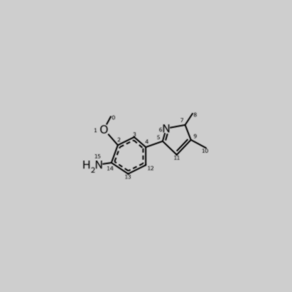 COc1cc(C2=NC(C)C(C)=C2)ccc1N